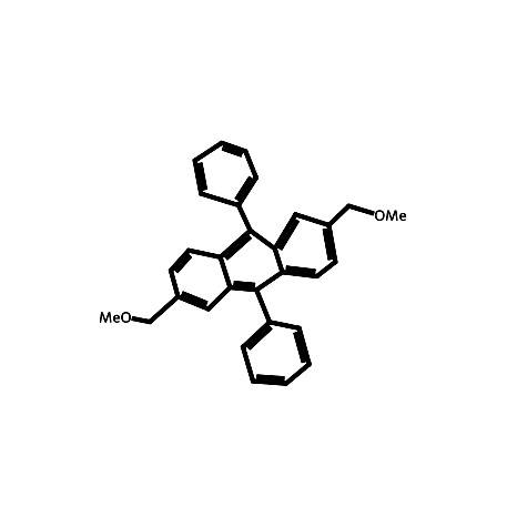 COCc1ccc2c(-c3ccccc3)c3cc(COC)ccc3c(-c3ccccc3)c2c1